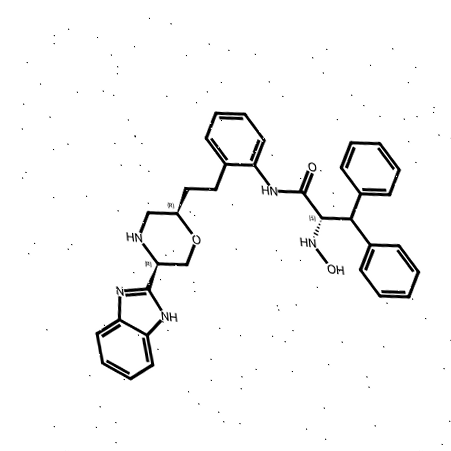 O=C(Nc1ccccc1CC[C@@H]1CN[C@H](c2nc3ccccc3[nH]2)CO1)[C@@H](NO)C(c1ccccc1)c1ccccc1